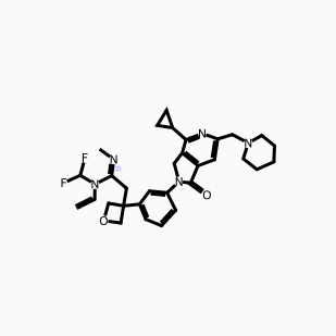 C=CN(/C(CC1(c2cccc(N3Cc4c(cc(CN5CCCCC5)nc4C4CC4)C3=O)c2)COC1)=N\C)C(F)F